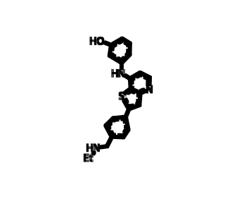 CCNCc1ccc(-c2cc3nccc(Nc4cccc(O)c4)c3s2)cc1